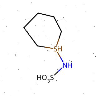 O=S(=O)(O)N[SH]1CCCCC1